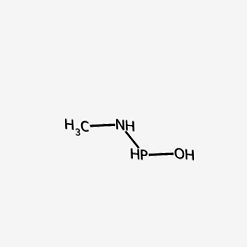 CNPO